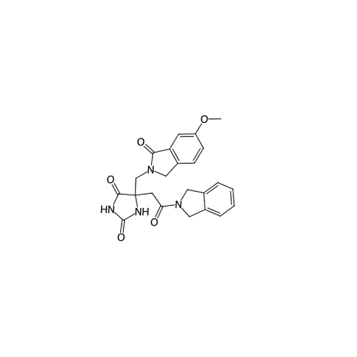 COc1ccc2c(c1)C(=O)N(CC1(CC(=O)N3Cc4ccccc4C3)NC(=O)NC1=O)C2